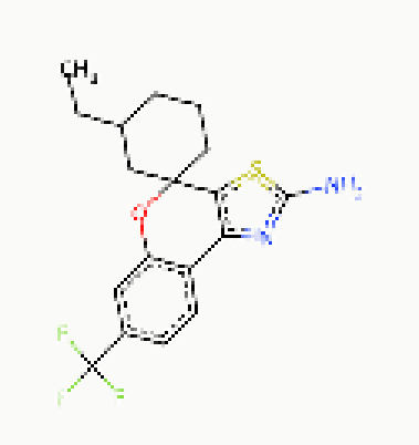 CCC1CCCC2(C1)Oc1cc(C(F)(F)F)ccc1-c1nc(N)sc12